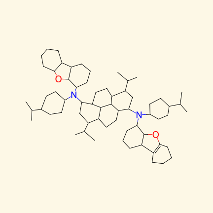 CC(C)C1CCC(N(C2CC(C(C)C)C3CCC4C5C(CCC2C35)C(C(C)C)CC4N(C2CCC(C(C)C)CC2)C2CCCC3C4CCCCC4OC32)C2CCCC3C4=C(CCCC4)OC32)CC1